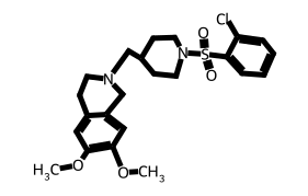 COc1cc2c(cc1OC)CN(CC1CCN(S(=O)(=O)c3ccccc3Cl)CC1)CC2